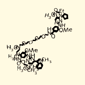 CC[C@@H]1C(=O)N(C)c2cnc(Nc3ccc(C(=O)NCCOCCOCCOCCOCCN(C)CCN(C)c4cc(OC)c(Nc5nccc(-c6cn(C)c7ccccc67)n5)cc4NC(=O)OCC[Si](C)(C)C)cc3OC)nc2N1C1CCCC1